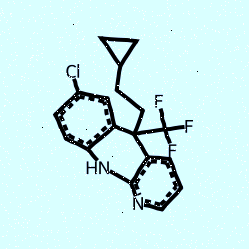 FC(F)(F)C1(CCC2CC2)c2cc(Cl)ccc2Nc2ncccc21